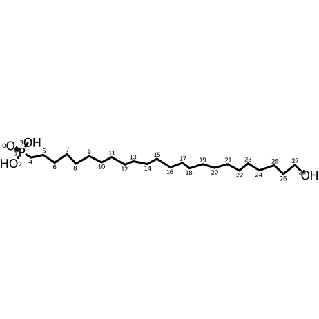 O=P(O)(O)CCCCCCCCCCCCCCCCCCCCCCCCO